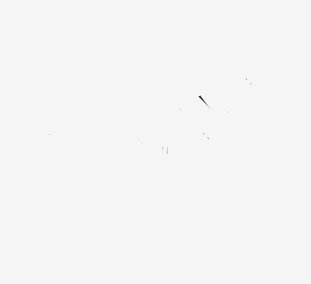 Fc1ccc([SH]23(C=C2)c2ccccc2CCN3C2=N[C@]3(CO2)CN2CCC3CC2)cc1